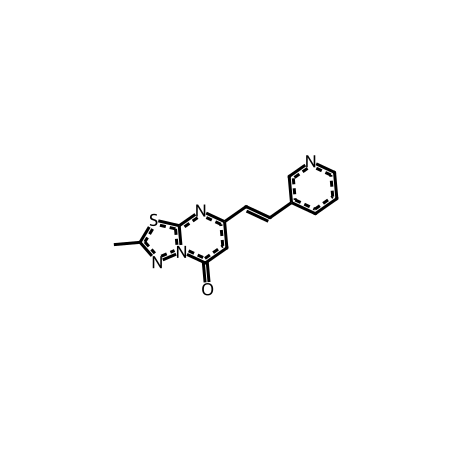 Cc1nn2c(=O)cc(/C=C/c3cccnc3)nc2s1